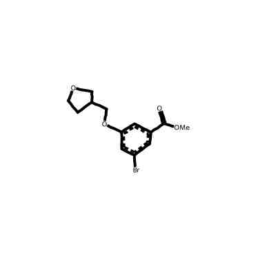 COC(=O)c1cc(Br)cc(OCC2CCOC2)c1